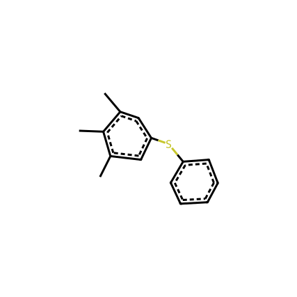 Cc1cc(Sc2ccccc2)cc(C)c1C